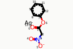 O=C(C[N+](=O)[O-])Oc1ccccc1.[Ag]